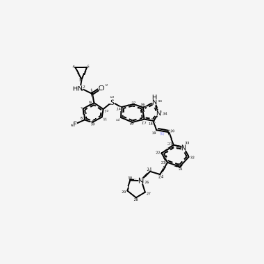 O=C(NC1CC1)c1cc(F)ccc1Sc1ccc2c(/C=C/c3cc(CCN4CCCC4)ccn3)n[nH]c2c1